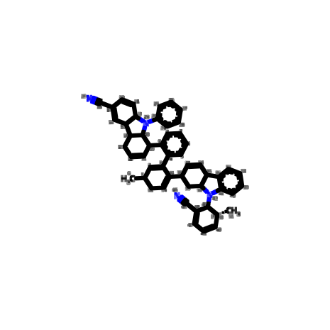 CC1C=C(c2ccccc2C2C=CCC3C4C=C(C#N)C=CC4N(c4ccccc4)C23)C(C2C=CC3c4ccccc4N(C4C(C#N)=CC=C[C@H]4C)C3C2)=CC1